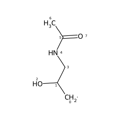 [CH2]C(O)CNC(C)=O